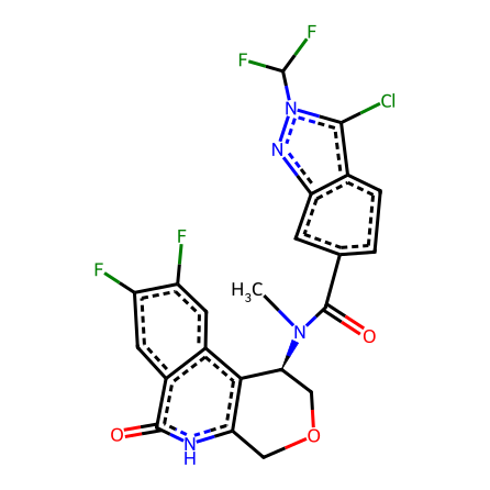 CN(C(=O)c1ccc2c(Cl)n(C(F)F)nc2c1)[C@H]1COCc2[nH]c(=O)c3cc(F)c(F)cc3c21